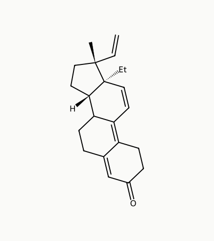 C=C[C@@]1(C)CC[C@H]2C3CCC4=CC(=O)CCC4=C3C=C[C@@]21CC